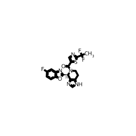 CC(F)(F)c1ncc(C(=O)N2CCc3[nH]cnc3[C@H]2c2nc3cc(F)ccc3o2)s1